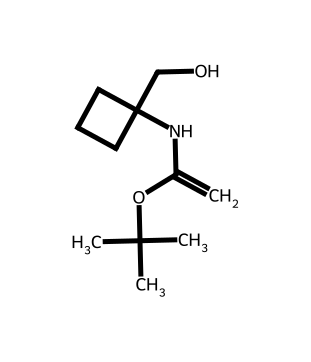 C=C(NC1(CO)CCC1)OC(C)(C)C